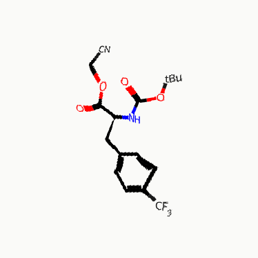 CC(C)(C)OC(=O)N[C@@H](Cc1ccc(C(F)(F)F)cc1)C(=O)OCC#N